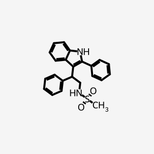 CS(=O)(=O)NCC(c1ccccc1)c1c(-c2ccccc2)[nH]c2ccccc12